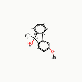 CCOc1ccc2c(c1)-c1ccccc1C2(O)C(F)(F)F